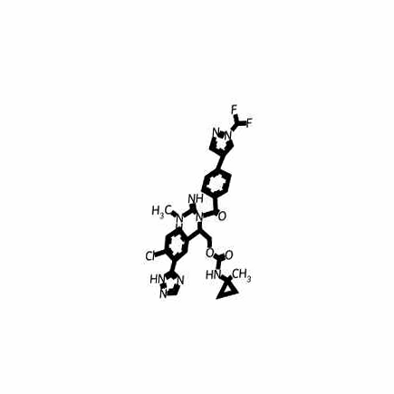 CNC(=N)N(C(=O)c1ccc(-c2cnn(C(F)F)c2)cc1)C(COC(=O)NC1(C)CC1)c1ccc(Cl)c(-c2ncn[nH]2)c1